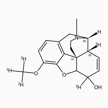 [2H]C([2H])([2H])Oc1ccc2c3c1OC1C([2H])(O)C=C[C@@]4([2H])[C@@H](C2)N(C)CC[C@]314